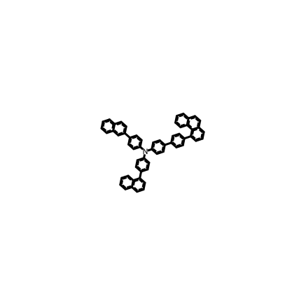 c1ccc2cc(-c3ccc(N(c4ccc(-c5ccc(-c6cccc7ccc8ccccc8c67)cc5)cc4)c4ccc(-c5cccc6ccccc56)cc4)cc3)ccc2c1